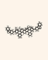 Cc1nc2c(ccc3c(-c4ccccc4)c(-c4ccc(-c5ccc6oc7ccccc7c6c5)cc4)c(C)nc32)c(-c2ccccc2)c1-c1ccc(-c2ccc3oc4ccccc4c3c2)cc1